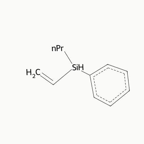 C=C[SiH](CCC)c1ccccc1